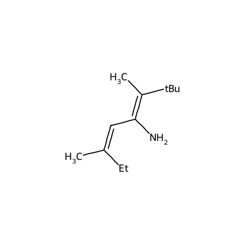 CC/C(C)=C\C(N)=C(/C)C(C)(C)C